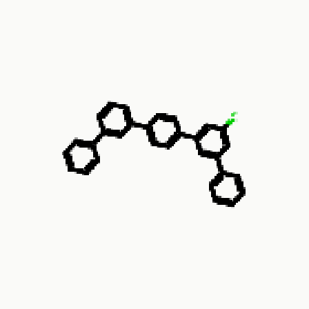 Clc1cc(-c2ccccc2)cc(-c2ccc(-c3cccc(-c4ccccc4)c3)cc2)c1